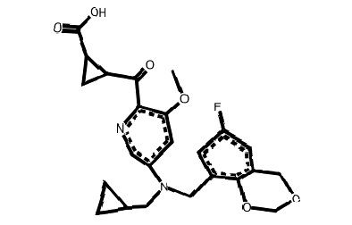 COc1cc(N(Cc2cc(F)cc3c2OCOC3)CC2CC2)cnc1C(=O)C1CC1C(=O)O